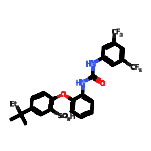 CCC(C)(C)c1ccc(Oc2ccccc2NC(=O)Nc2cc(C(F)(F)F)cc(C(F)(F)F)c2)c(S(=O)(=O)O)c1